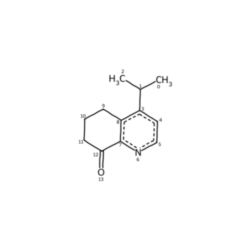 CC(C)c1ccnc2c1CCCC2=O